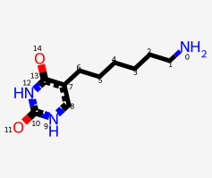 NCCCCCCc1c[nH]c(=O)[nH]c1=O